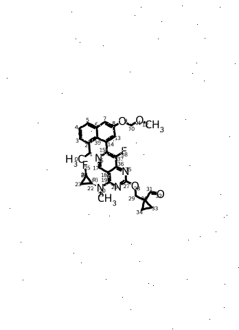 CCc1cccc2cc(OCOC)cc(-c3ncc4c(N(C)[C@@H]5C[C@H]5F)nc(OCC5(C=O)CC5)nc4c3F)c12